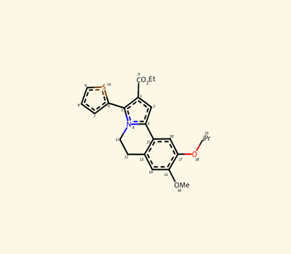 CCOC(=O)c1cc2n(c1-c1cccs1)CCc1cc(OC)c(OC(C)C)cc1-2